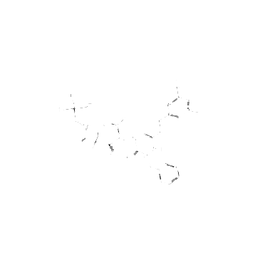 CC(C)[C@H](NC(=O)[C@H](Cc1ccccc1)NC(=O)CCc1cc(Cl)cc(Cl)c1)C(=O)C(F)(F)C(=O)NCC(F)(F)F